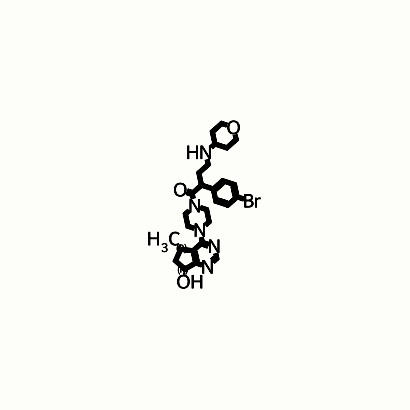 C[C@@H]1C[C@@H](O)c2ncnc(N3CCN(C(=O)C(CCNC4CCOCC4)c4ccc(Br)cc4)CC3)c21